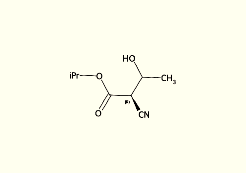 CC(C)OC(=O)[C@H](C#N)C(C)O